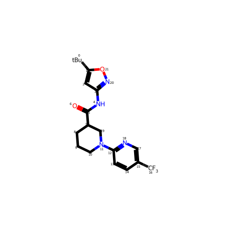 CC(C)(C)c1cc(NC(=O)C2CCCN(c3ccc(C(F)(F)F)cn3)C2)no1